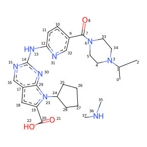 CC(C)N1CCN(C(=O)c2ccc(Nc3ncc4cc(C(=O)O)n(C5CCCC5)c4n3)nc2)CC1.CNC